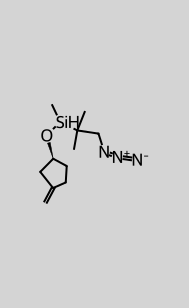 C=C1CC[C@H](O[SiH](C)C(C)(C)CN=[N+]=[N-])C1